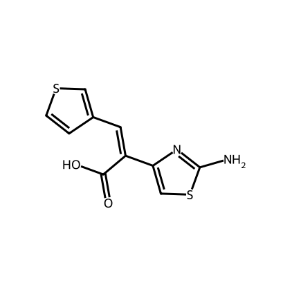 Nc1nc(C(=Cc2ccsc2)C(=O)O)cs1